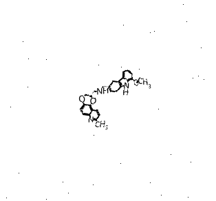 COc1cccc2c3c([nH]c12)CC[C@H](CNC[C@H]1COc2ccc4nc(C)ccc4c2O1)C3